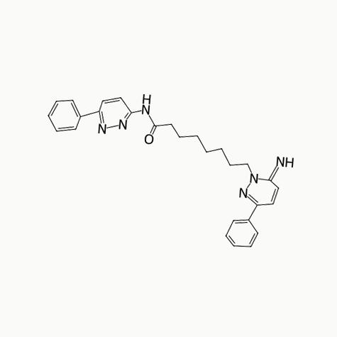 N=c1ccc(-c2ccccc2)nn1CCCCCCCC(=O)Nc1ccc(-c2ccccc2)nn1